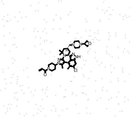 C=CC(=O)N1CCC(n2nc(N3CC[C@@H](CN4CCN(C5COC5)CC4)CC3(C)C)c(-c3c(C)c(Cl)cc4[nH]ncc34)c2C)CC1